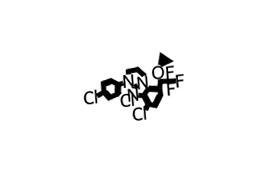 FC(F)(F)C(OC1CC1)c1ccc(Cl)c2nc3n(c12)CCCN3c1ccc(Cl)cc1Cl